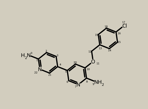 Nc1ccc(-c2cnc(N)c(OCc3ccc(Cl)cc3)c2)cn1